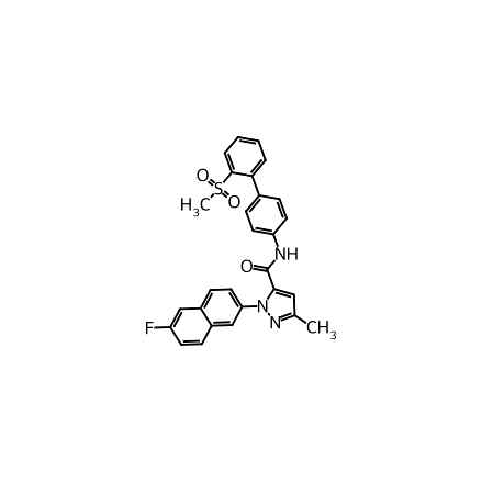 Cc1cc(C(=O)Nc2ccc(-c3ccccc3S(C)(=O)=O)cc2)n(-c2ccc3cc(F)ccc3c2)n1